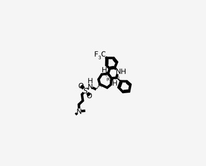 CN(C)CCCS(=O)(=O)NC[C@H]1CC[C@@H]2[C@H](CC1)c1cc(C(F)(F)F)ccc1N[C@H]2c1ccccc1